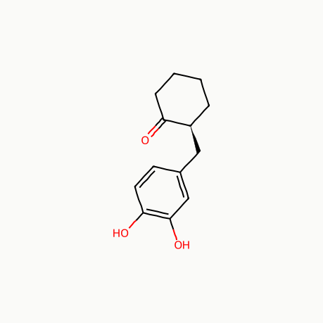 O=C1CCCC[C@H]1Cc1ccc(O)c(O)c1